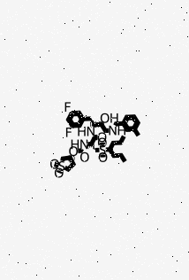 CCCC(CCC)S(=O)(=O)C[C@H](NC(=O)O[C@H]1CCS(=O)(=O)C1)C(=O)N[C@@H](Cc1cc(F)cc(F)c1)[C@H](O)CNCc1cccc(C)c1